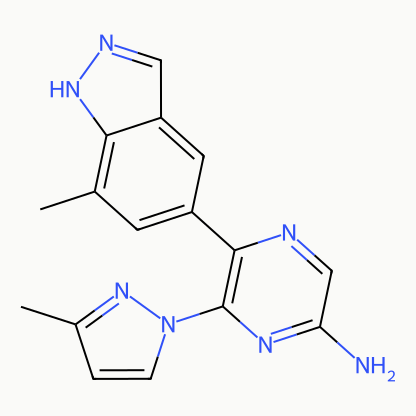 Cc1ccn(-c2nc(N)cnc2-c2cc(C)c3[nH]ncc3c2)n1